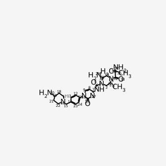 C[C@H]1CN(C(=O)Nc2ccn(-c3ccc(CN4CCC(N)CC4)cc3)c(=O)n2)[C@H](N)CN1C(=O)C(C)(C)N